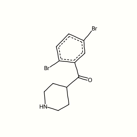 O=C(c1cc(Br)ccc1Br)C1CCNCC1